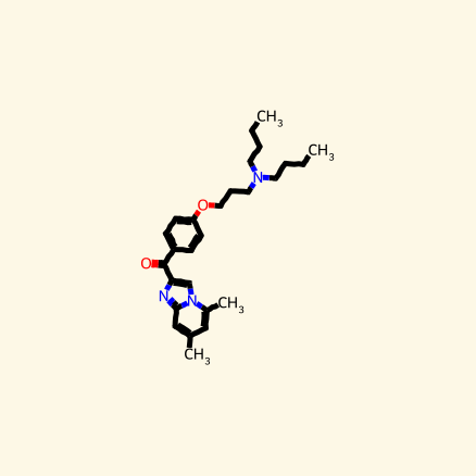 CCCCN(CCCC)CCCOc1ccc(C(=O)c2cn3c(C)cc(C)cc3n2)cc1